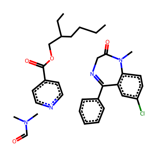 CCCCC(CC)COC(=O)c1ccncc1.CN(C)C=O.CN1C(=O)CN=C(c2ccccc2)c2cc(Cl)ccc21